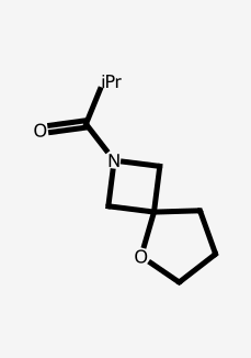 CC(C)C(=O)N1CC2(CCCO2)C1